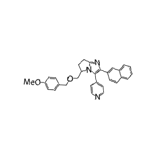 COc1ccc(COCC2CCc3nc(-c4ccc5ccccc5c4)c(-c4ccncc4)n32)cc1